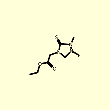 CCOC(=O)CN1CN(F)N(C)C1=S